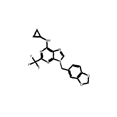 FC(F)(F)c1nc(NC2CC2)c2ncn(Cc3ccc4c(c3)OCO4)c2n1